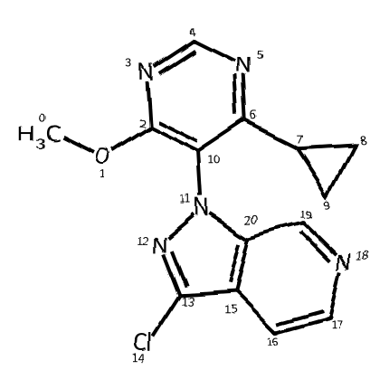 COc1ncnc(C2CC2)c1-n1nc(Cl)c2ccncc21